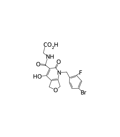 O=C(O)CNC(=O)c1c(O)c2c(n(Cc3ccc(Br)cc3F)c1=O)COC2